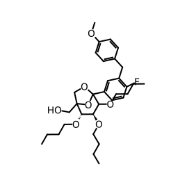 CCCCOC1[C@@H](OCCCC)[C@H](OCCCC)C2(CO)COC1(c1ccc(F)c(Cc3ccc(OC)cc3)c1)O2